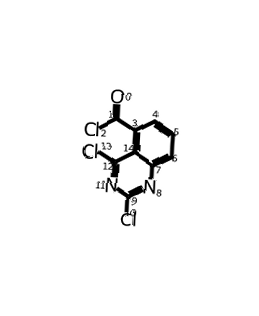 O=C(Cl)c1cccc2nc(Cl)nc(Cl)c12